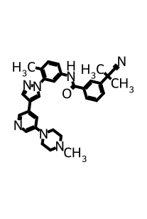 Cc1ccc(NC(=O)c2cccc(C(C)(C)C#N)c2)cc1-n1cc(-c2cncc(N3CCN(C)CC3)c2)cn1